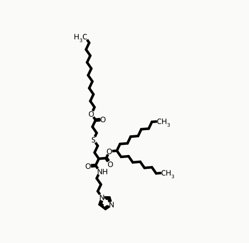 CCCCCCCCCCCCOC(=O)CCSCCC(C(=O)NCCCn1ccnc1)C(=O)OC(CCCCCCCC)CCCCCCCC